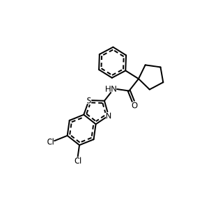 O=C(Nc1nc2cc(Cl)c(Cl)cc2s1)C1(c2ccccc2)CCCC1